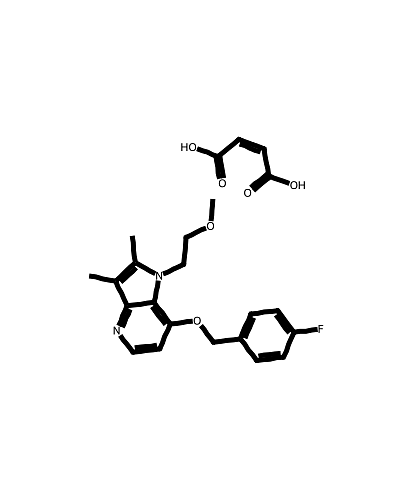 COCCn1c(C)c(C)c2nccc(OCc3ccc(F)cc3)c21.O=C(O)/C=C\C(=O)O